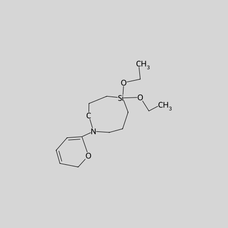 CCO[Si]1(OCC)CCCN(C2=CC=CCO2)CCC1